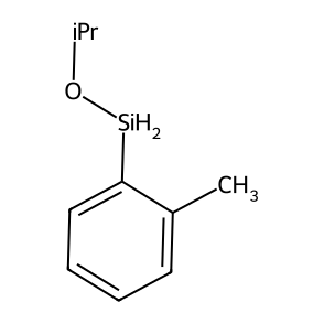 Cc1ccccc1[SiH2]OC(C)C